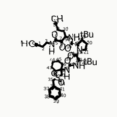 C#CCCNC(=O)C(=O)C(CCC#C)NC(=O)[C@@H]1C(C(C)(C)C)CCN1C(=O)[C@@H](NC(=O)NC1(CS(=O)(=O)Cc2ccccc2)CCCCC1)C(C)(C)C